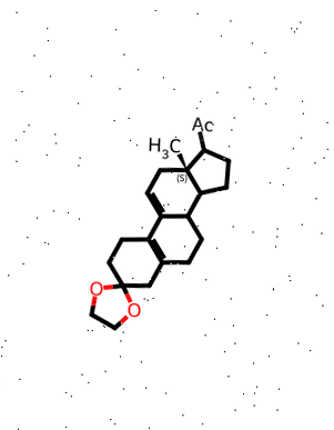 CC(=O)C1CCC2C3CCC4=C(CCC5(C4)OCCO5)C3=CC[C@]12C